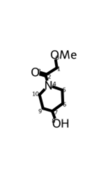 COCC(=O)N1CCC(O)CC1